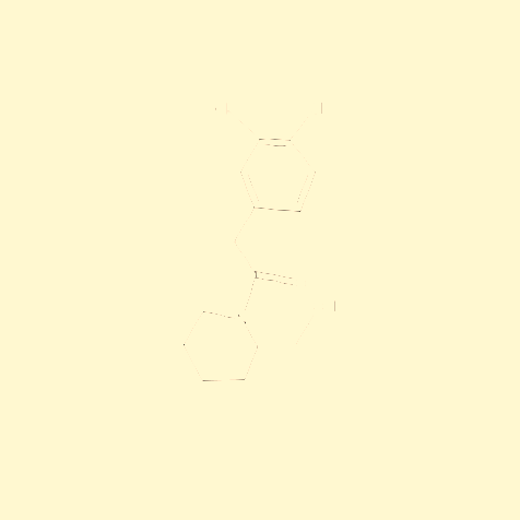 C[C@@H]1CCCN(C(=O)Cc2ccc(Cl)c(Cl)c2)[C@@H]1CO